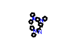 c1ccc(N(c2ccccc2)c2cncc(-c3ccc4c(c3)c3cc(N(c5ccccc5)c5ccccc5)ccc3n4-c3ccccc3)c2)cc1